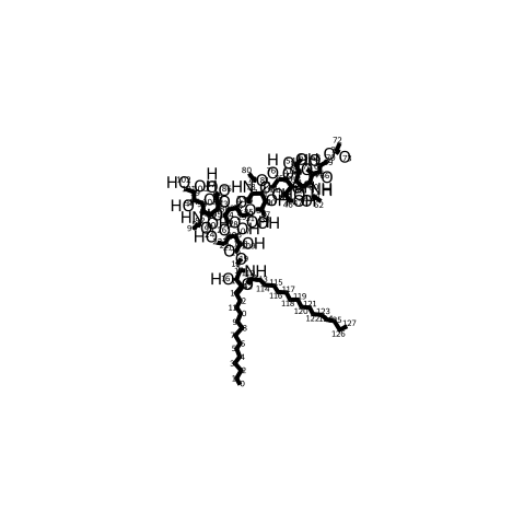 CCCCCCCCCCCCC/C=C/[C@@H](O)[C@H](CO[C@@H]1OC(CO)[C@@H](O[C@@H]2OC(CO)[C@H](O[C@@H]3OC(CO)[C@H](O)[C@H](O[C@@H]4OC(CO)[C@H](O)[C@H](O[C@]5(C(=O)O)CC(O)[C@@H](NC(C)=O)C([C@H](O)[C@H](O)COC(C)=O)O5)C4O)C3NC(C)=O)[C@H](O[C@]3(C(=O)O)CC(O)[C@@H](NC(C)=O)C([C@H](O)[C@H](O)CO)O3)C2O)[C@H](O)C1O)NC(=O)CCCCCCCCCCCCCCC